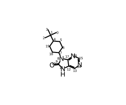 CC(C)(C)C1CCC(n2c(=O)[nH]c3cncnc32)CC1